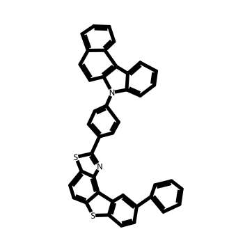 c1ccc(-c2ccc3sc4ccc5sc(-c6ccc(-n7c8ccccc8c8c9ccccc9ccc87)cc6)nc5c4c3c2)cc1